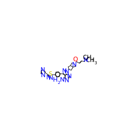 CN(C)C/C=C/C(=O)N1CC2CC(n3nc(-c4ccc(-c5nnc(-c6cnccn6)s5)cc4)c4c(N)ncnc43)CC2C1